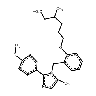 CC(CCCOc1ccccc1Cn1c(C(F)(F)F)cnc1-c1ccc(OC(F)(F)F)cc1)CC(=O)O